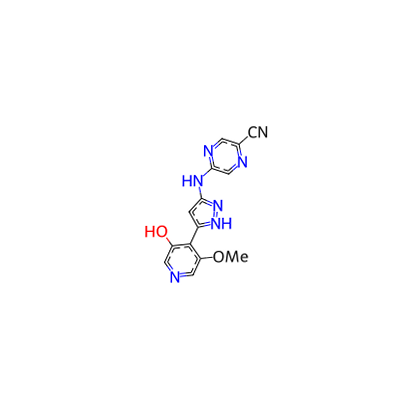 COc1cncc(O)c1-c1cc(Nc2cnc(C#N)cn2)n[nH]1